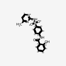 Cc1ccnc(NS(=O)(=O)c2ccc(NC(=O)c3ccccc3O)cc2)n1